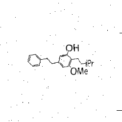 COc1cc(CCc2ccccc2)cc(O)c1CCC(C)C